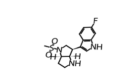 CS(=O)(=O)N1C[C@@H](c2c[nH]c3cc(F)ccc23)[C@H]2NCC[C@H]21